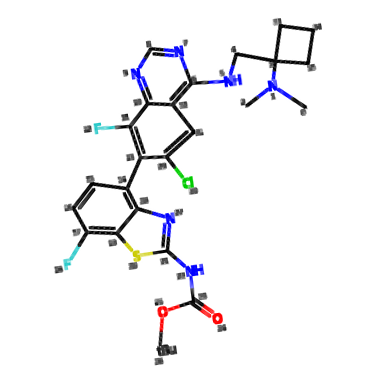 CN(C)C1(CNc2ncnc3c(F)c(-c4ccc(F)c5sc(NC(=O)OC(C)(C)C)nc45)c(Cl)cc23)CCC1